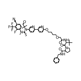 CN(C(=S)N(c1ccc(-c2ccc(OCCCCOCC(=O)NC(C(=O)N3CCC[C@H]3C(=O)NCc3ccccc3)C(C)(C)C)nc2)nc1)C(C)(C)C=O)c1ccc(C#N)c(C(F)(F)F)c1F